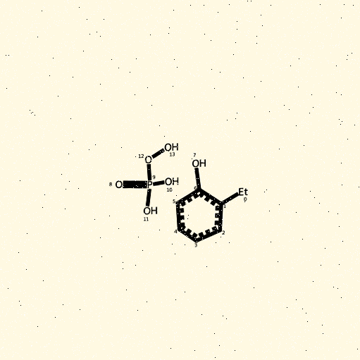 CCc1ccccc1O.O=P(O)(O)OO